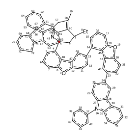 CCC1CC(c2cccc3oc4ccc(-c5cccc6oc7ccc(-c8ccc9c(c8)c8ccccc8n9-c8ccccc8)cc7c56)cc4c23)/N=C(/c2ccccc2)C/C(C)=C/1c1ccc2c(c1)oc1ccccc12